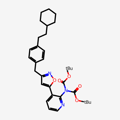 CC(C)(C)OC(=O)N(C(=O)OC(C)(C)C)c1ncccc1-c1cc(Cc2ccc(CCC3CCCCC3)cc2)no1